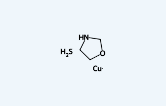 C1COCN1.S.[Cu]